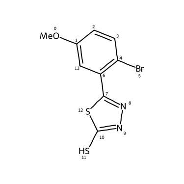 COc1ccc(Br)c(-c2nnc(S)s2)c1